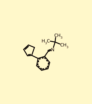 CC(C)(C)/N=C/c1ccccc1C1=CC=CC1